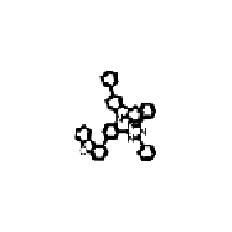 c1ccc(-c2ccc3c(c2)c2ccccc2n3-c2ccc(-c3cccc4oc5ccccc5c34)cc2-c2nc(-c3ccccc3)nc(-c3ccccc3)n2)cc1